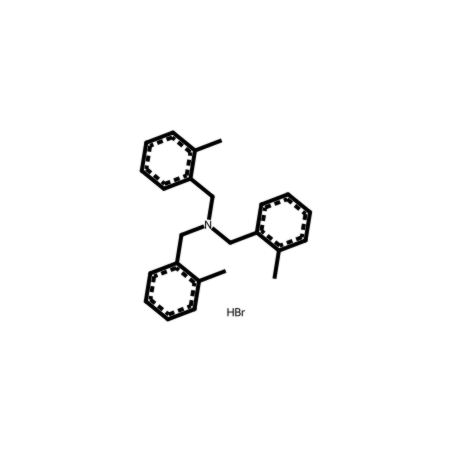 Br.Cc1ccccc1CN(Cc1ccccc1C)Cc1ccccc1C